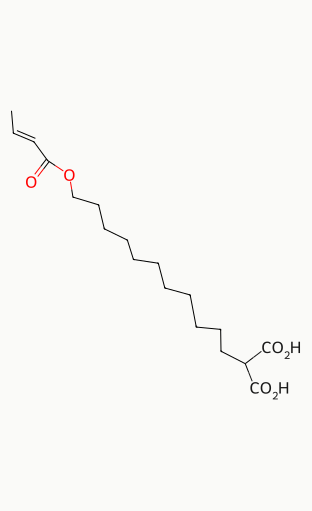 CC=CC(=O)OCCCCCCCCCCCC(C(=O)O)C(=O)O